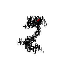 Cc1ncsc1-c1ccc([C@H](C)NC(=O)[C@@H]2C[C@@H](O)CN2C(=O)[C@@H](c2cc(OCC3CCN(CCOc4nc(N5CC6CCC(C5)N6)c5cnc(-c6cc(O)cc7ccc(F)c(C#C[Si](C(C)C)(C(C)C)C(C)C)c67)c(F)c5n4)CC3)no2)C(C)C)cc1